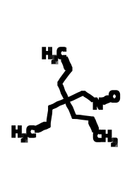 C=CCC(CC=C)(CC=C)CN=O